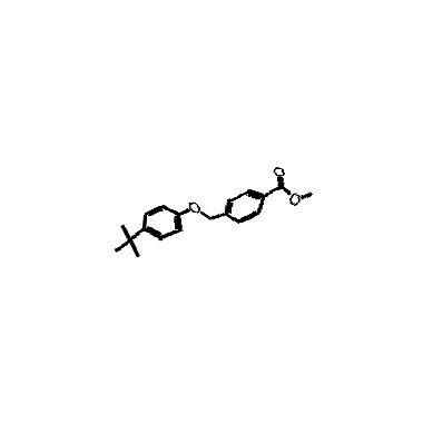 COC(=O)c1ccc(COc2ccc(C(C)(C)C)cc2)cc1